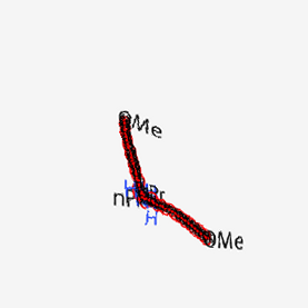 CCCNc1nc(C(=O)NCCCC(=O)CCOCCOCCOCCOCCOCCOCCOCCOCCOCCOCCOCCOC)c(NCCC)nc1C(=O)CCCNC(=O)CCOCCOCCOCCOCCOCCOCCOCCOCCOCCOCCOCCOC